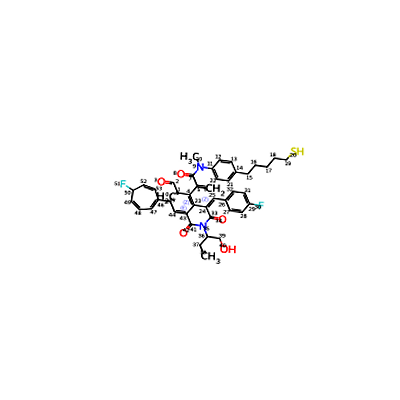 C=C(C=O)/C(C(=C)C(=O)N(C)c1ccc(CCCCCS)cc1)=C1C(=C/c2ccc(F)cc2)/C(=O)N(C(CC)CO)C(=O)C/1=C/CC1=CC=CC(F)C=C1